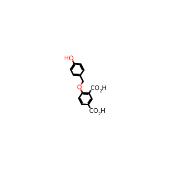 O=C(O)c1ccc(OCc2ccc(O)cc2)c(C(=O)O)c1